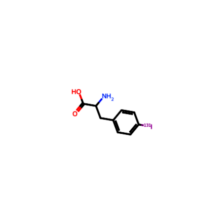 NC(Cc1ccc([131I])cc1)C(=O)O